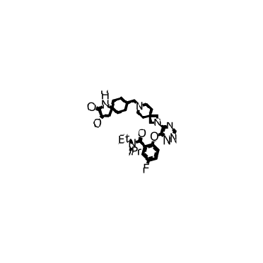 CCN(C(=O)c1cc(F)ccc1Oc1nncnc1N1CC2(CCN(CC3CCC4(CC3)CC(=O)C(=O)N4)CC2)C1)C(C)C